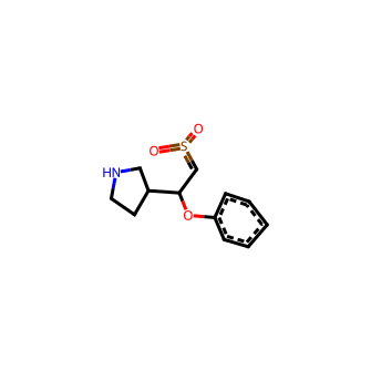 O=S(=O)=CC(Oc1ccccc1)C1CCNC1